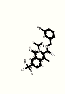 Cc1c(C(=O)NCc2cccc(F)c2)n(C(C)C)c(=O)c2cc(C(F)(F)F)ccc12